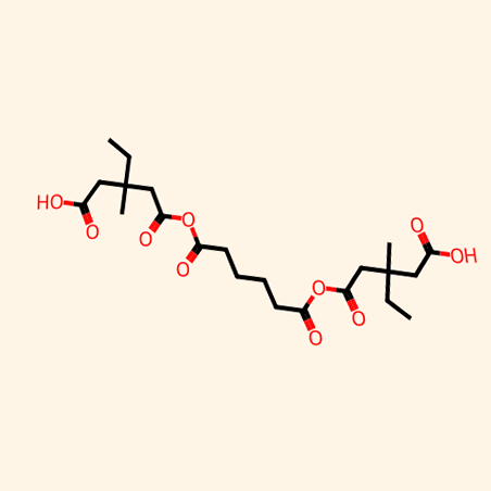 CCC(C)(CC(=O)O)CC(=O)OC(=O)CCCCC(=O)OC(=O)CC(C)(CC)CC(=O)O